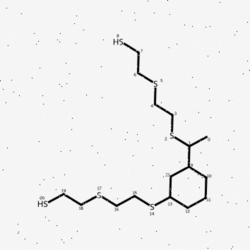 CC(SCCSCCS)C1CCCC(SCCSCCS)C1